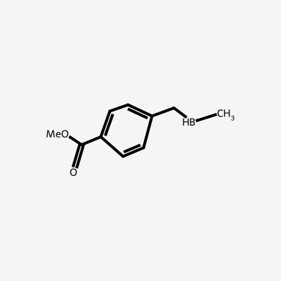 CBCc1ccc(C(=O)OC)cc1